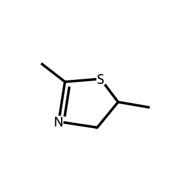 CC1=NCC(C)S1